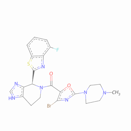 CN1CCN(c2nc(Br)c(C(=O)N3CCc4[nH]cnc4[C@H]3c3nc4c(F)cccc4s3)o2)CC1